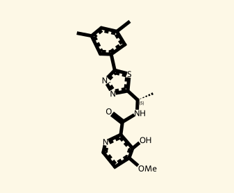 COc1ccnc(C(=O)N[C@@H](C)c2nnc(-c3cc(C)cc(C)c3)s2)c1O